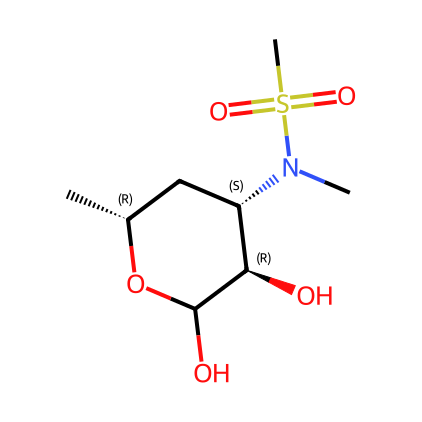 C[C@@H]1C[C@H](N(C)S(C)(=O)=O)[C@@H](O)C(O)O1